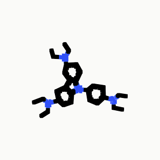 CCN(CC)c1ccc(-n2c3ccc(N(CC)CC)cc3c3cc(N(CC)CC)ccc32)cc1